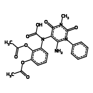 CC(=O)Oc1cccc(N(C(=O)O)c2c(N)n(-c3ccccc3)c(=O)n(C)c2=O)c1OC(C)=O